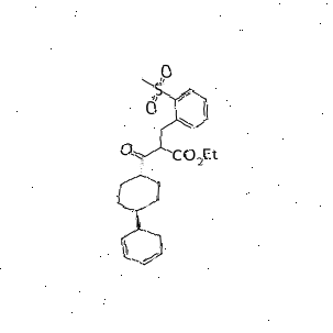 CCOC(=O)C(Cc1ccccc1S(C)(=O)=O)C(=O)[C@H]1CC[C@H](C2C=CC=CC2)CC1